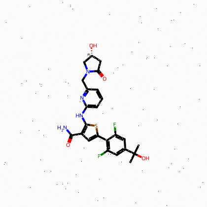 CC(C)(O)c1cc(F)c(-c2cc(C(N)=O)c(Nc3cccc(CN4C[C@H](O)CC4=O)n3)s2)c(F)c1